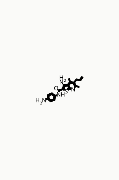 C=CCc1c(C)nc2sc(C(=O)Nc3ccc(N)cc3)c(N)c2c1C